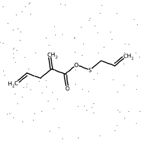 C=CCSOC(=O)C(=C)CC=C